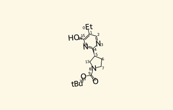 CCc1cnc([C@H]2CCN(C(=O)OC(C)(C)C)C2)nc1O